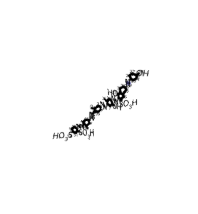 Cc1cc(N=Nc2cc(O)c(N=Nc3c(S(=O)(=O)O)cc4cc(/N=N/c5ccc(O)cc5)ccc4c3O)cc2C)ccc1N=Nc1ccc(N=Nc2ccc(S(=O)(=O)O)cc2S(=O)(=O)O)c(C)c1